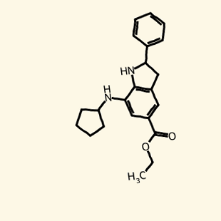 CCOC(=O)c1cc2c(c(NC3CCCC3)c1)NC(c1ccccc1)C2